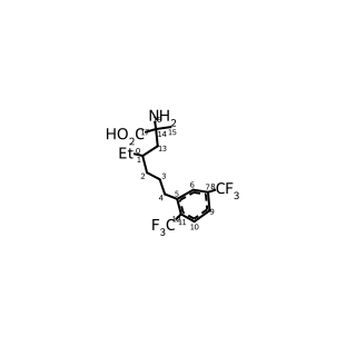 CCC(CCCc1cc(C(F)(F)F)ccc1C(F)(F)F)CC(C)(N)C(=O)O